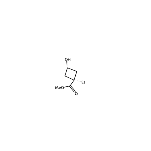 CC[C@]1(C(=O)OC)C[C@H](O)C1